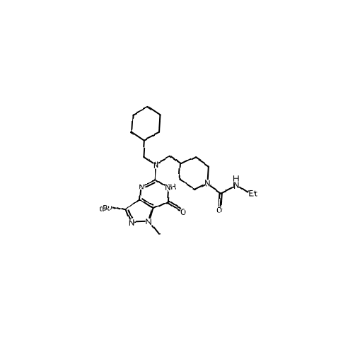 CCNC(=O)N1CCC(CN(CC2CCCCC2)c2nc3c(C(C)(C)C)nn(C)c3c(=O)[nH]2)CC1